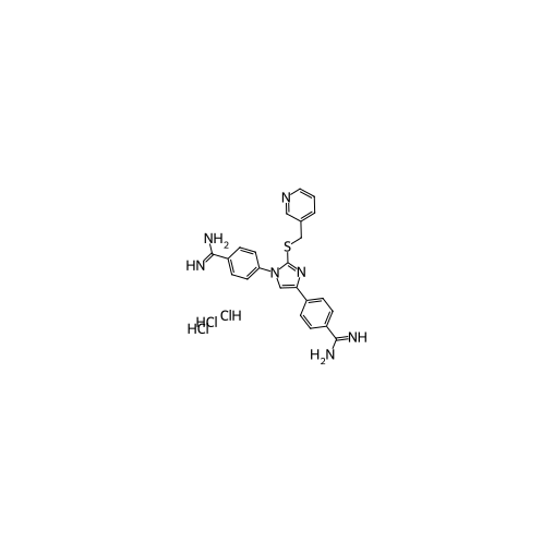 Cl.Cl.Cl.N=C(N)c1ccc(-c2cn(-c3ccc(C(=N)N)cc3)c(SCc3cccnc3)n2)cc1